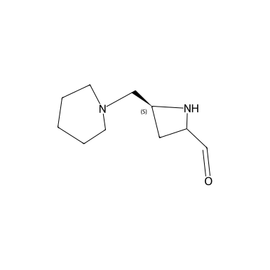 O=CC1C[C@@H](CN2CCCCC2)N1